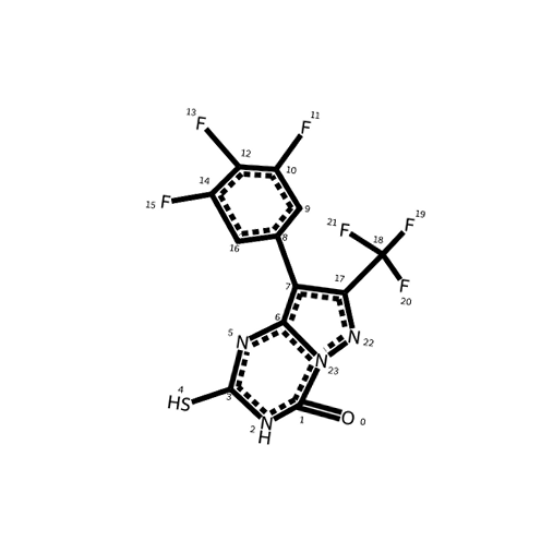 O=c1[nH]c(S)nc2c(-c3cc(F)c(F)c(F)c3)c(C(F)(F)F)nn12